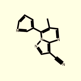 Cc1cnc2c(C#N)cnn2c1-c1cccnc1